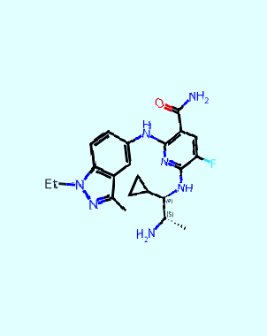 CCn1nc(C)c2cc(Nc3nc(N[C@H](C4CC4)[C@H](C)N)c(F)cc3C(N)=O)ccc21